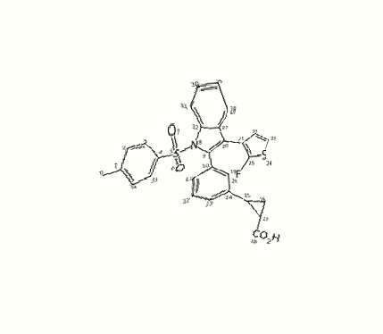 Cc1ccc(S(=O)(=O)n2c(-c3cccc(C4CC4C(=O)O)c3)c(-c3ccsc3F)c3ccccc32)cc1